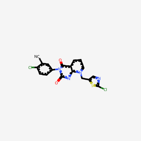 N#Cc1cc(-n2c(=O)nc3n(Cc4cnc(Cl)s4)cccc-3c2=O)ccc1Cl